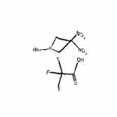 CC(C)(C)N1CC([N+](=O)[O-])([N+](=O)[O-])C1.O=C(O)C(F)(F)F